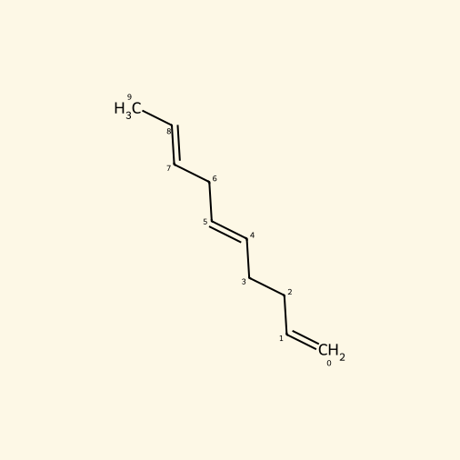 C=CCCC=CCC=CC